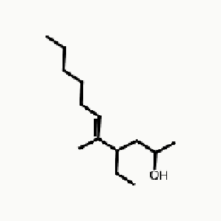 CCCCC/C=C(\C)C(CC)CC(C)O